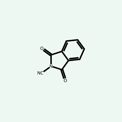 N#CN1C(=O)c2ccccc2C1=O